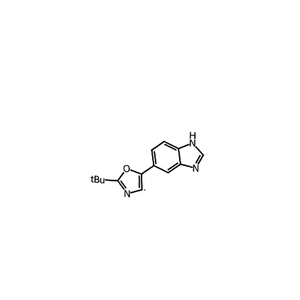 CC(C)(C)c1n[c]c(-c2ccc3[nH]cnc3c2)o1